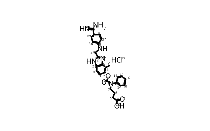 Cc1c(OC(=O)N(CCCC(=O)O)c2ccccc2)ccc2[nH]c(CNc3ccc(C(=N)N)cc3)nc12.Cl